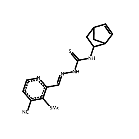 CSc1c(C#N)ccnc1C=NNC(=S)NC1CC2C=CC1C2